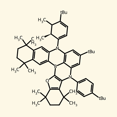 CC1C(C(C)(C)C)=CC=C(N2c3cc4c(cc3B3c5oc6c(c5N(c5ccc(C(C)(C)C)cc5)c5cc(C(C)(C)C)cc2c53)C(C)(C)CCC6(C)C)C(C)(C)CCC4(C)C)[C@H]1C